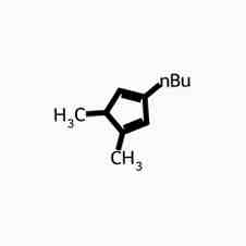 CCCCC1=CC(C)C(C)=C1